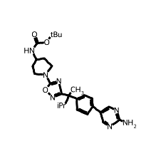 CC(C)C(C)(c1ccc(-c2cnc(N)nc2)cc1)c1noc(N2CCC(NC(=O)OC(C)(C)C)CC2)n1